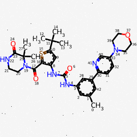 Cc1cc(NC(=O)Nc2cc(C(C)(C)C)sc2C(=O)N2CCNC(=O)C2(C)C)cc(-c2ccc(N3CCOCC3)cn2)c1